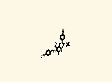 [C-]#[N+]c1ccc(COc2c(C)ncc(CN(C(=O)OC(C)(C)C)c3ccc(C#N)cc3)c2C=O)cc1